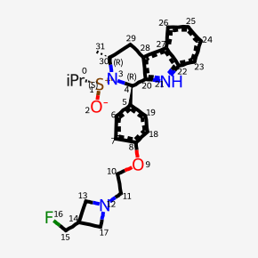 CC(C)[S@@+]([O-])N1[C@H](c2ccc(OCCN3CC(CF)C3)cc2)c2[nH]c3ccccc3c2C[C@H]1C